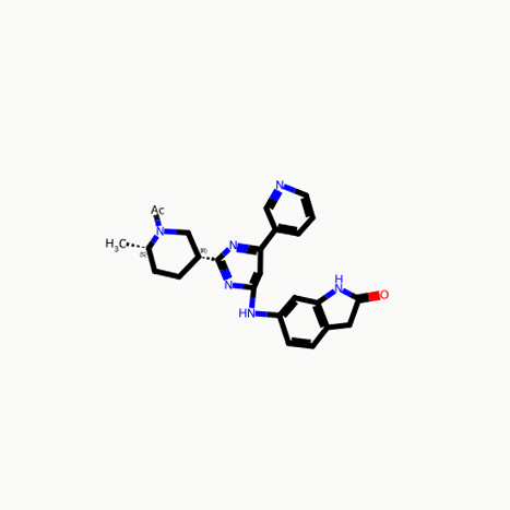 CC(=O)N1C[C@H](c2nc(Nc3ccc4c(c3)NC(=O)C4)cc(-c3cccnc3)n2)CC[C@@H]1C